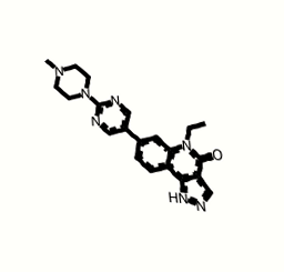 CCn1c(=O)c2cn[nH]c2c2ccc(-c3cnc(N4CCN(C)CC4)nc3)cc21